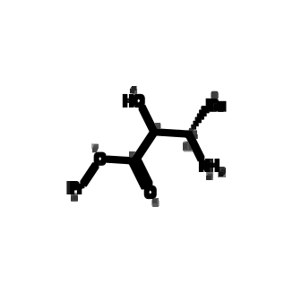 CCC(C)[C@H](N)C(O)C(=O)OC(C)C